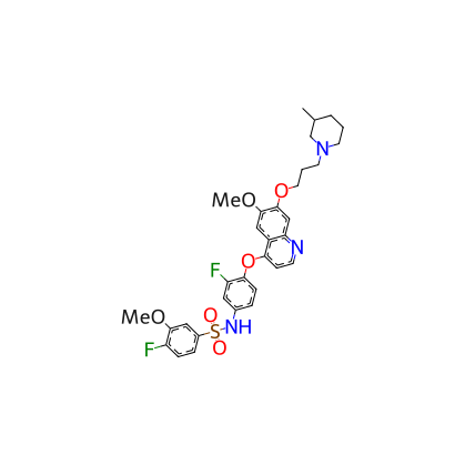 COc1cc(S(=O)(=O)Nc2ccc(Oc3ccnc4cc(OCCCN5CCCC(C)C5)c(OC)cc34)c(F)c2)ccc1F